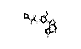 CC[C@@H]1C[C@@H](OC(=O)NC2CCC2)C[C@@H]1c1nnc2cnc3[nH]ccc3n12